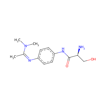 CC(=Nc1ccc(NC(=O)[C@@H](N)CO)cc1)N(C)C